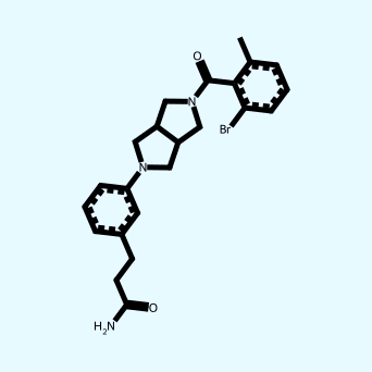 Cc1cccc(Br)c1C(=O)N1CC2CN(c3cccc(CCC(N)=O)c3)CC2C1